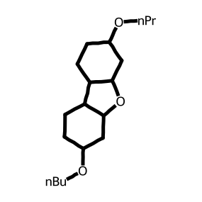 CCCCOC1CCC2C(C1)OC1CC(OCCC)CCC12